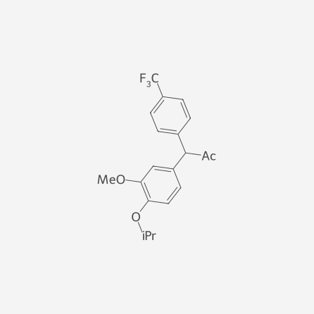 COc1cc(C(C(C)=O)c2ccc(C(F)(F)F)cc2)ccc1OC(C)C